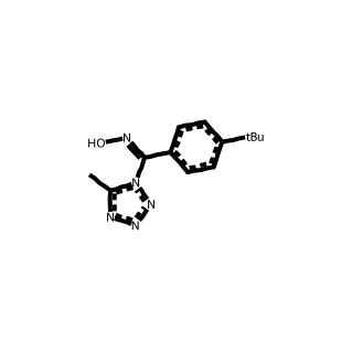 Cc1nnnn1C(=NO)c1ccc(C(C)(C)C)cc1